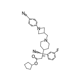 N#Cc1ccc(N2CC(CN3CCC([C@@](C#N)(CC(=O)OC4CCCC4)c4cccc(F)c4)CC3)C2)cc1